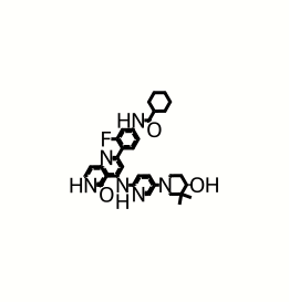 CC1(C)CN(c2ccc(Nc3cc(-c4ccc(NC(=O)C5CCCCC5)cc4F)nc4cc[nH]c(=O)c34)nc2)CC[C@@H]1O